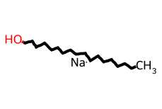 CCCCCCCCCCCCCCCCCCO.[Na]